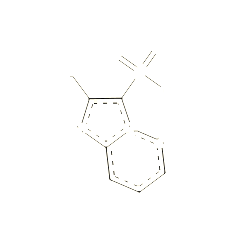 O=S(=O)(Cl)c1c(Cl)nc2cccnn12